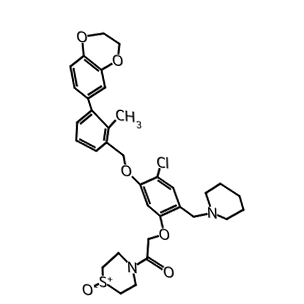 Cc1c(COc2cc(OCC(=O)N3CC[S+]([O-])CC3)c(CN3CCCCC3)cc2Cl)cccc1-c1ccc2c(c1)OCCO2